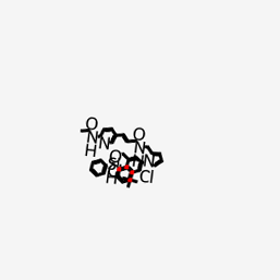 CC(=O)Nc1ccc(C=CC(=O)NCc2cccn2-c2cc(CO[SiH](c3ccccc3)c3ccccc3)c(Cl)c(C(C)(C)C)c2Cl)cn1